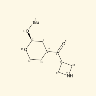 CC(C)(C)O[C@H]1CN(C(=O)C2CNC2)CCO1